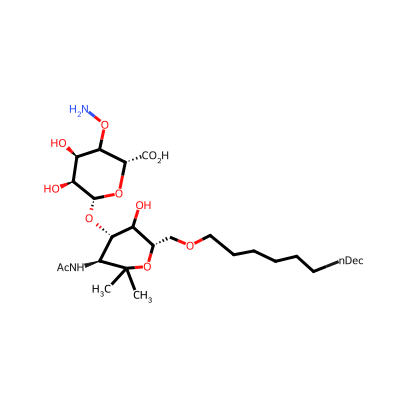 CCCCCCCCCCCCCCCCOC[C@@H]1OC(C)(C)[C@@H](NC(C)=O)[C@H](O[C@H]2O[C@@H](C(=O)O)C(ON)[C@H](O)[C@@H]2O)C1O